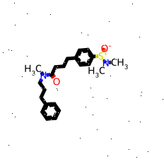 CN(CCCc1ccccc1)C(=O)CCCc1ccc([S+]([O-])N(C)C)cc1